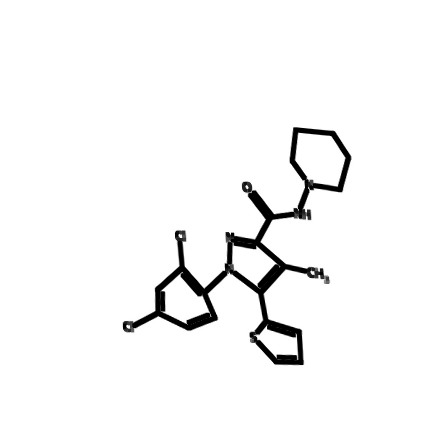 Cc1c(C(=O)NN2CCCCC2)nn(-c2ccc(Cl)cc2Cl)c1-c1cccs1